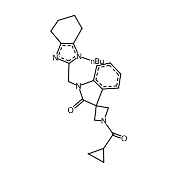 CCCCn1c(CN2C(=O)C3(CN(C(=O)C4CC4)C3)c3ccccc32)nc2c1CCCC2